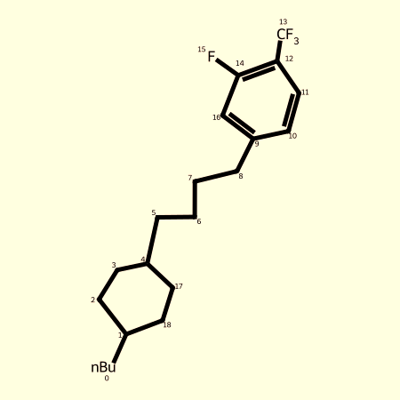 CCCCC1CCC(CCCCc2ccc(C(F)(F)F)c(F)c2)CC1